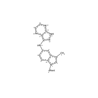 CCCCCn1cc(C)c2cc(Nc3n[nH]c4nccnc34)ccc21